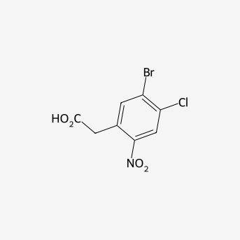 O=C(O)Cc1cc(Br)c(Cl)cc1[N+](=O)[O-]